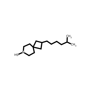 CC(C)CCCCC1CC2(CCN(S)CC2)C1